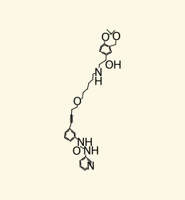 CC1(C)OCc2cc([C@H](O)CNCCCCCCOCCC#Cc3cccc(NC(=O)Nc4cccnc4)c3)ccc2O1